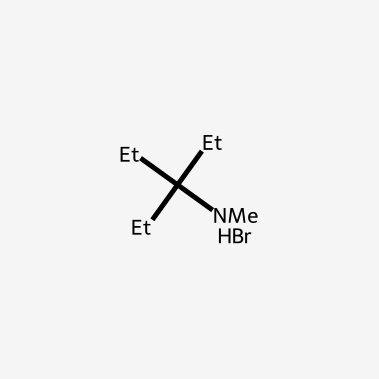 Br.CCC(CC)(CC)NC